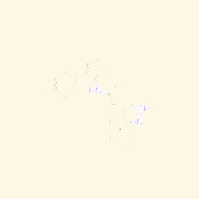 Cc1ccc(-c2ccsc2NC(=O)Oc2cn(C)nc2C(F)(F)F)cc1